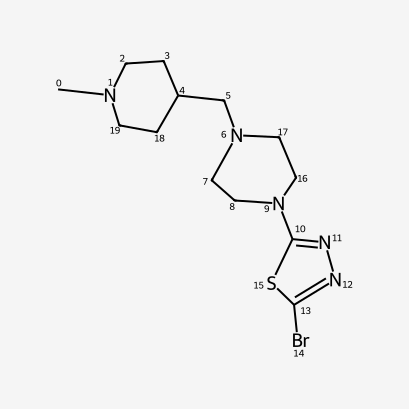 CN1CCC(CN2CCN(c3nnc(Br)s3)CC2)CC1